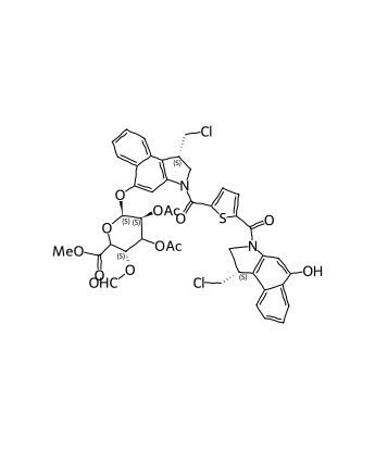 COC(=O)C1O[C@@H](Oc2cc3c(c4ccccc24)[C@H](CCl)CN3C(=O)c2ccc(C(=O)N3C[C@@H](CCl)c4c3cc(O)c3ccccc43)s2)[C@@H](OC(C)=O)C(OC(C)=O)[C@@H]1OC=O